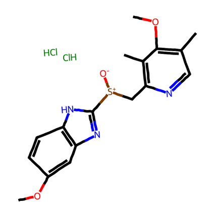 COc1ccc2[nH]c([S+]([O-])Cc3ncc(C)c(OC)c3C)nc2c1.Cl.Cl